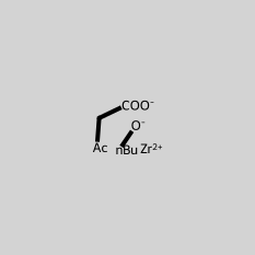 CC(=O)CC(=O)[O-].CCCC[O-].[Zr+2]